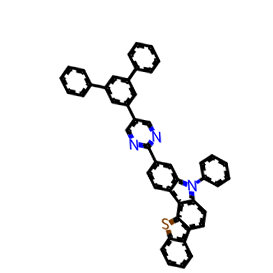 c1ccc(-c2cc(-c3ccccc3)cc(-c3cnc(-c4ccc5c6c7sc8ccccc8c7ccc6n(-c6ccccc6)c5c4)nc3)c2)cc1